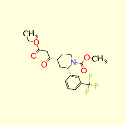 CCOC(=O)CC(=O)[C@@H]1CCN(C(=O)OC)[C@H](c2cccc(C(F)(F)F)c2)C1